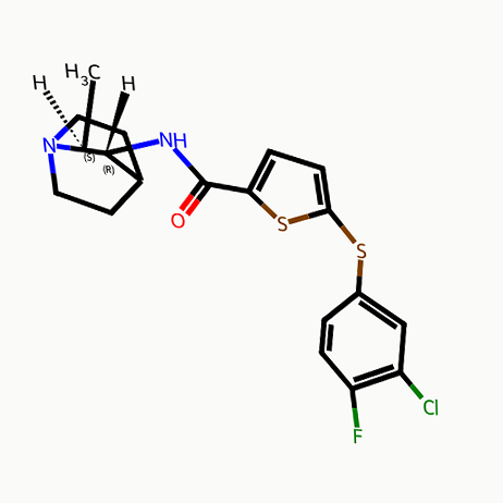 C[C@H]1[C@H](NC(=O)c2ccc(Sc3ccc(F)c(Cl)c3)s2)C2CCN1CC2